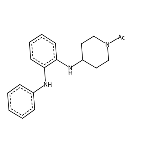 CC(=O)N1CCC(Nc2ccccc2Nc2ccccc2)CC1